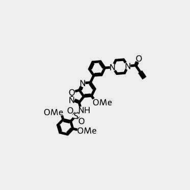 C#CC(=O)N1CCN(c2cccc(-c3cc(OC)c4c(NS(=O)(=O)c5c(OC)cccc5OC)noc4n3)c2)CC1